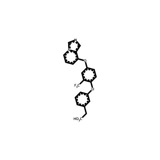 O=C(O)Cc1cccc(Oc2ccc(Oc3cccn4cncc34)cc2C(F)(F)F)c1